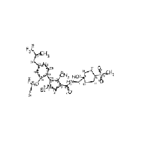 CCn1nc(C(=O)NCC2(O)CCC(S(C)(=O)=O)CC2)c(C)c1-c1cnc(CC(C)C(F)(F)F)cc1OC(F)F